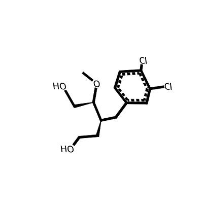 CO[C@H](CO)[C@H](CCO)Cc1ccc(Cl)c(Cl)c1